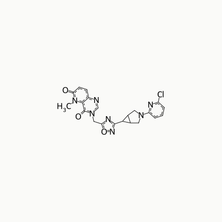 Cn1c(=O)ccc2ncn(Cc3nc(C4C5CN(c6cccc(Cl)n6)CC54)no3)c(=O)c21